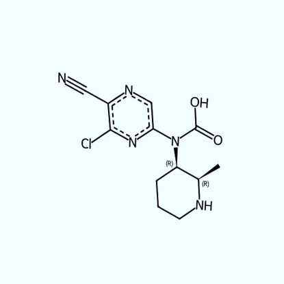 C[C@H]1NCCC[C@H]1N(C(=O)O)c1cnc(C#N)c(Cl)n1